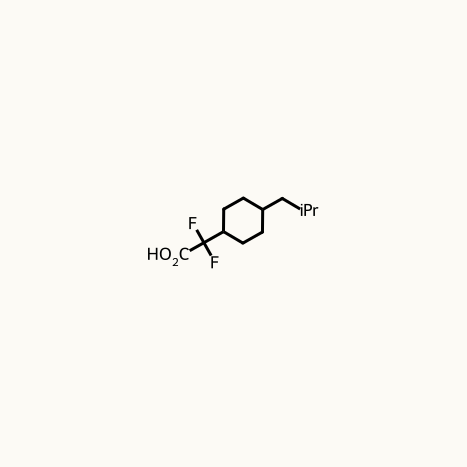 CC(C)CC1CCC(C(F)(F)C(=O)O)CC1